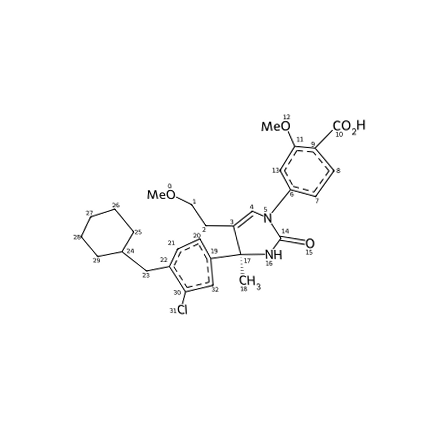 COCCC1=CN(c2ccc(C(=O)O)c(OC)c2)C(=O)N[C@@]1(C)c1ccc(CC2CCCCC2)c(Cl)c1